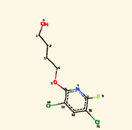 OCCCCOc1nc(F)c(Cl)cc1Cl